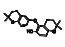 CC1(C)CCc2cc(Oc3c(O)ccc4c3CCC(C)(C)O4)ccc2O1